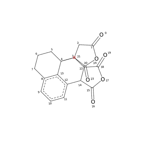 O=C1CC(C23CCCc4cccc(c42)C2C(=O)OC(=O)C2C3)C(=O)O1